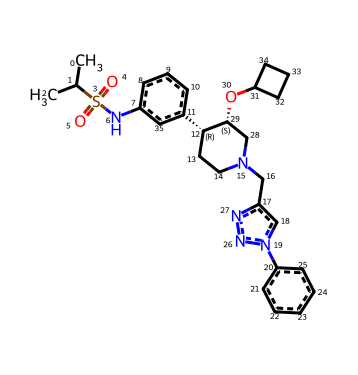 CC(C)S(=O)(=O)Nc1cccc([C@H]2CCN(Cc3cn(-c4ccccc4)nn3)C[C@H]2OC2CCC2)c1